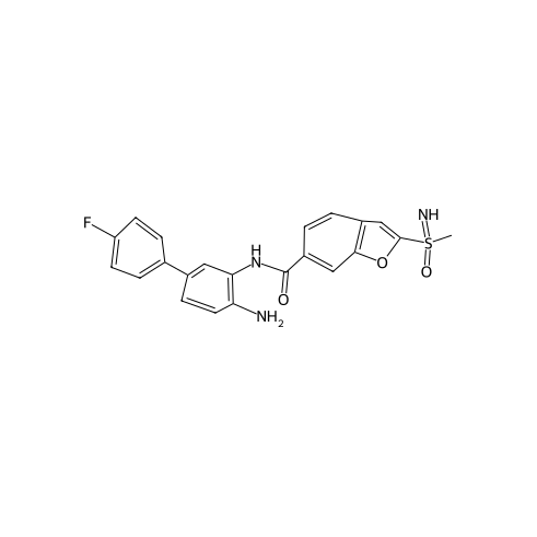 CS(=N)(=O)c1cc2ccc(C(=O)Nc3cc(-c4ccc(F)cc4)ccc3N)cc2o1